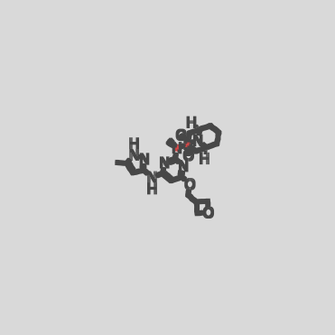 CCS(=O)(=O)N1[C@@H]2CCC[C@H]1C[C@H](N(C)c1nc(Nc3cc(C)[nH]n3)cc(OCC3COC3)n1)C2